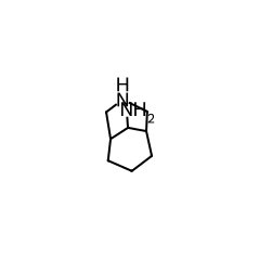 NC1C2CCCC1CNC2